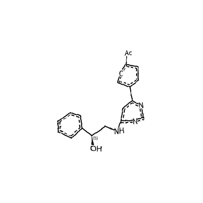 CC(=O)c1ccc(-c2cc(NC[C@@H](O)c3ccccc3)ncn2)cc1